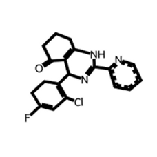 O=C1CCCC2=C1C(C1=C(Cl)C=C(F)CC1)N=C(c1ccccn1)N2